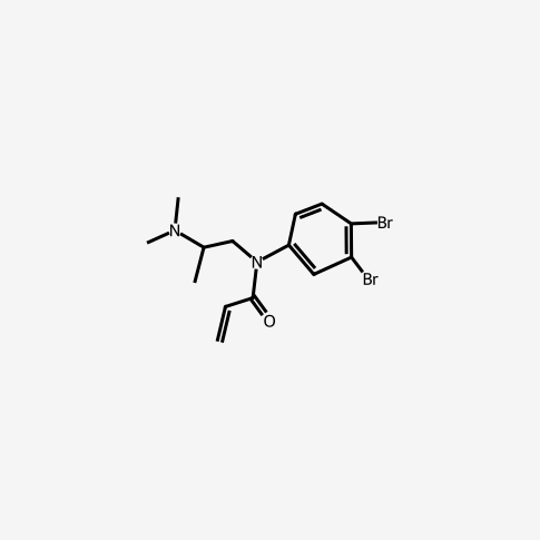 C=CC(=O)N(CC(C)N(C)C)c1ccc(Br)c(Br)c1